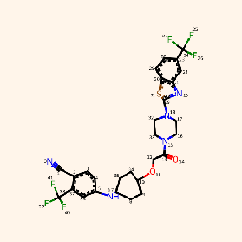 N#Cc1ccc(NC2CCC(OCC(=O)N3CCN(c4nc5cc(C(F)(F)F)ccc5s4)CC3)CC2)cc1C(F)(F)F